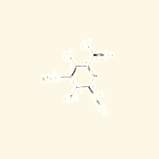 COC1=C(Cl)C(C(=O)Cl)=CC(=C=O)C1Cl